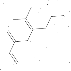 C=CC(=C)CC(CCC)=C(C)C